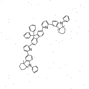 CC12CCCCC1(C)N(c1ccccc1)c1ccc(-c3cccc(-c4ccc5c(c4)C(c4ccccc4)(c4ccccc4)c4cc(-c6cccc(-c7ccc8c(c7)C7(C)CCCCC7(C)N8c7ccccc7)n6)ccc4-5)n3)cc12